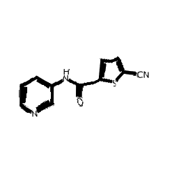 N#Cc1ccc(C(=O)Nc2cccnc2)s1